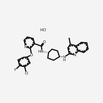 Cc1cc(N[C@H]2CC[C@@H](NC(=O)c3cccnc3Oc3ccc(F)c(Cl)c3)CC2)nc2ccccc12.Cl